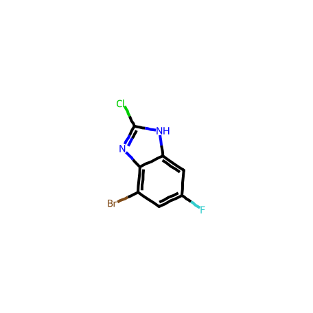 Fc1cc(Br)c2nc(Cl)[nH]c2c1